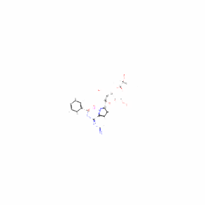 COC(C)(C)C(=O)O[C@H]1[C@@H](O)[C@](C)(c2ccc(/C(=N\C=N)NC(=O)c3ccccc3)[nH]2)O[C@@H]1CO